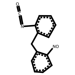 O=C=Nc1ccccc1Cc1ccccc1N=O